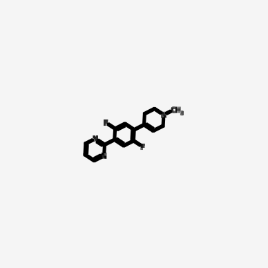 CN1CC=C(c2cc(F)c(-c3ncccn3)cc2F)CC1